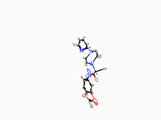 CC(C(=O)Nc1ccc2c(c1)OCO2)N1CCN(c2ccccn2)CC1